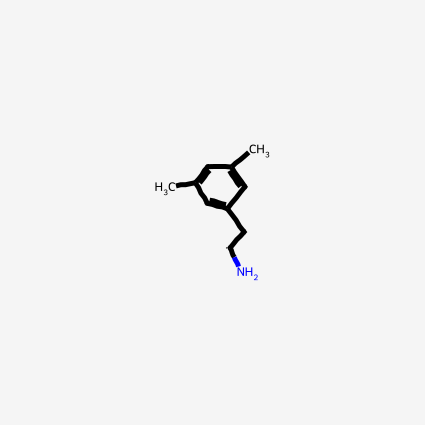 Cc1cc(C)cc(C[CH]N)c1